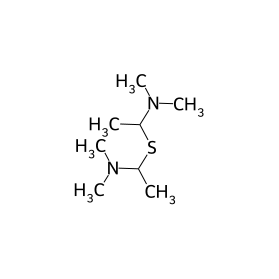 CC(SC(C)N(C)C)N(C)C